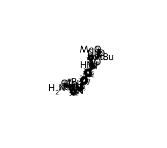 COC(=O)N[C@H](C(=O)N1CCCC1c1ncc(-c2ccc(-c3ccc(-c4cnc([C@@H]5CCCN5C(=O)[C@@H](OC(N)=O)C(C)(C)C)[nH]4)cc3)cc2)[nH]1)C(C)(C)C